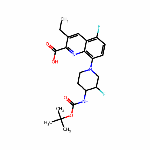 CCc1cc2c(F)ccc(N3CCC(NC(=O)OC(C)(C)C)C(F)C3)c2nc1C(=O)O